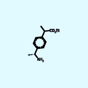 CCOC(=O)C(C)c1ccc([C@@H](C)N)cc1